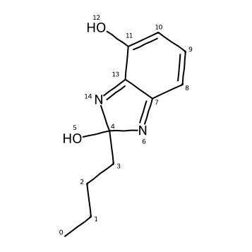 CCCCC1(O)N=c2cccc(O)c2=N1